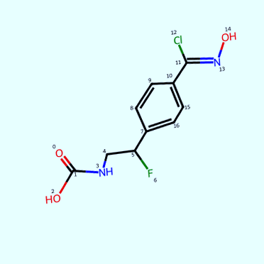 O=C(O)NCC(F)c1ccc(C(Cl)=NO)cc1